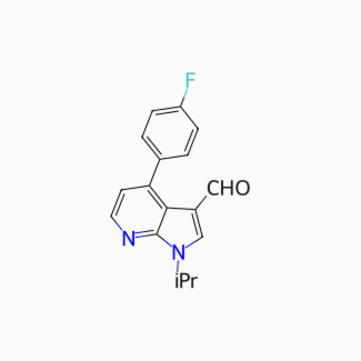 CC(C)n1cc(C=O)c2c(-c3ccc(F)cc3)ccnc21